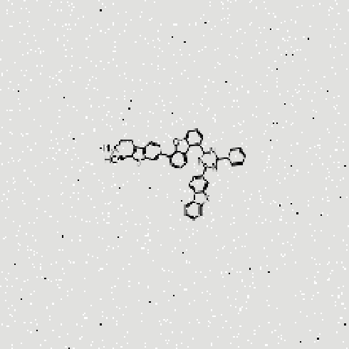 C#Cc1sc2cc(-c3cccc4c3oc3cccc(-c5nc(-c6ccc7c(c6)sc6ccccc67)nc(C6C=CC=CC6)n5)c34)ccc2c1/C=C\C